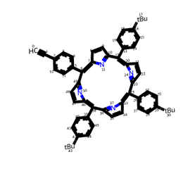 C#Cc1ccc(C2=C3C=CC(=N3)C(c3ccc(C(C)(C)C)cc3)=C3C=CC(=N3)C(c3ccc(C(C)(C)C)cc3)=C3C=CC(=N3)C(c3ccc(C(C)(C)C)cc3)=C3C=CC2=N3)cc1